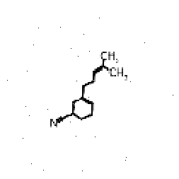 CC(C)=CCCC1=CCCC(C#N)C1